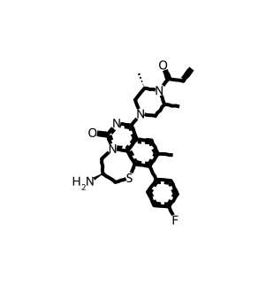 C=CC(=O)N1C(C)CN(c2nc(=O)n3c4c(c(-c5ccc(F)cc5)c(C)cc24)SC[C@@H](N)C3)C[C@@H]1C